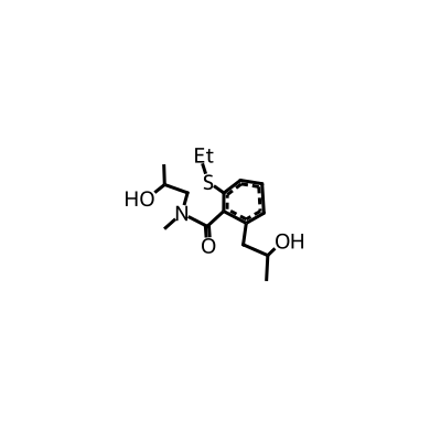 CCSc1cccc(CC(C)O)c1C(=O)N(C)CC(C)O